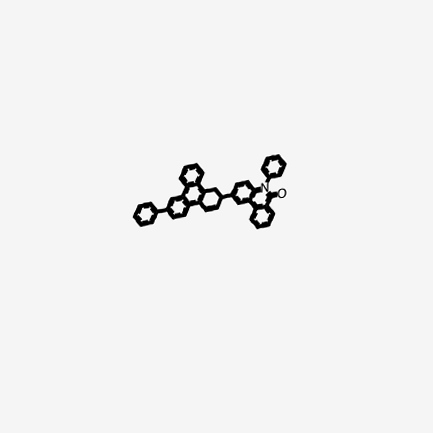 O=c1c2ccccc2c2cc(C3C=Cc4c(c5ccccc5c5cc(-c6ccccc6)ccc45)C3)ccc2n1-c1ccccc1